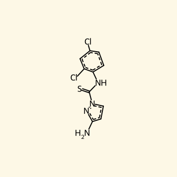 Nc1ccn(C(=S)Nc2ccc(Cl)cc2Cl)n1